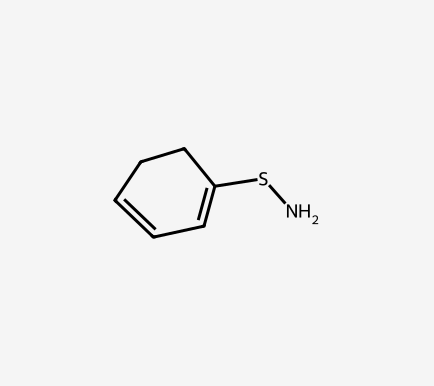 NSC1=CC=CCC1